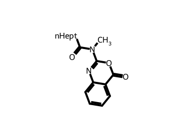 CCCCCCCC(=O)N(C)c1nc2ccccc2c(=O)o1